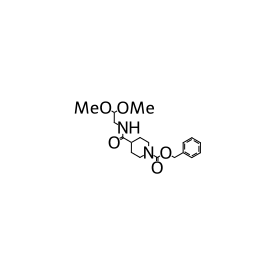 COC(CNC(=O)C1CCN(C(=O)OCc2ccccc2)CC1)OC